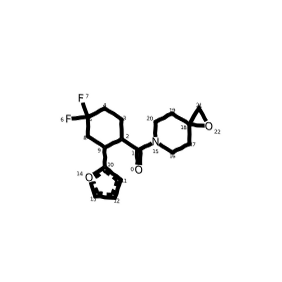 O=C(C1CCC(F)(F)CC1c1ccco1)N1CCC2(CC1)CO2